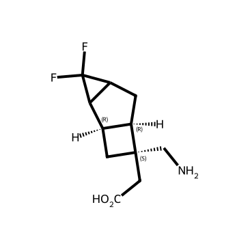 NC[C@]1(CC(=O)O)C[C@H]2C3C(C[C@H]21)C3(F)F